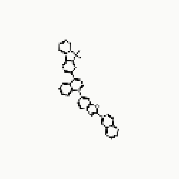 CC1(C)c2ccccc2-c2ccc(-c3ccc(-c4ccc5nc(-c6ccc7ncccc7c6)oc5c4)c4ccccc34)cc21